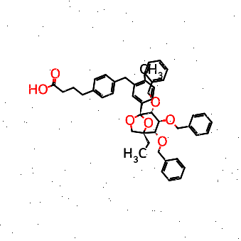 CC[C@@]12CO[C@@](c3ccc(C)c(Cc4ccc(CCCC(=O)O)cc4)c3)(O1)[C@H](OCc1ccccc1)[C@@H](OCc1ccccc1)[C@@H]2OCc1ccccc1